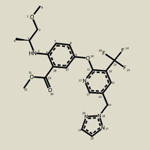 COC[C@H](C)Nc1ccc(Oc2ncc(Cn3nccn3)cc2C(F)(F)F)cc1C(=O)OC